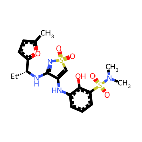 CC[C@@H](NC1=NS(=O)(=O)C=C1Nc1cccc(S(=O)(=O)N(C)C)c1O)c1ccc(C)o1